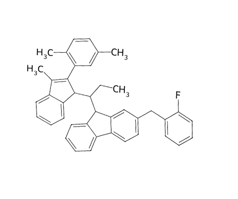 CCC(C1C(c2cc(C)ccc2C)=C(C)c2ccccc21)C1c2ccccc2-c2ccc(Cc3ccccc3F)cc21